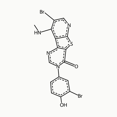 CNc1c(Br)cnc2sc3c(=O)n(-c4ccc(O)c(Br)c4)cnc3c12